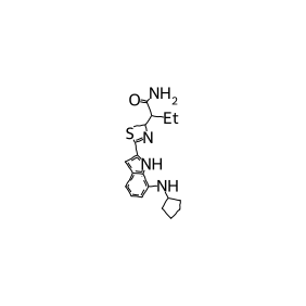 CCC(C(N)=O)C1CSC(c2cc3cccc(NC4CCCC4)c3[nH]2)=N1